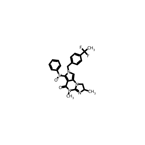 CC1CN2C(=N1)N(C)C(=O)c1c2cn(Cc2ccc(C(C)(F)F)cc2)c1[S+]([O-])c1ccccc1